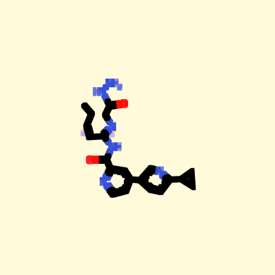 CC/C=C\C(=N/CC(=O)NN)NC(=O)c1cc(-c2ccc(C3CC3)nc2)ccn1